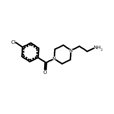 NCCN1CCN(C(=O)c2ccc(Cl)cc2)CC1